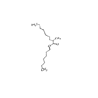 CCCCCCCOC(=O)C(C)CCCCCCC